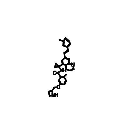 Cc1cccc(C=Cc2cc(C3(NC(=O)c4cc(OCC5CCN5)ccc4C)CC3)c3cccnc3c2)c1